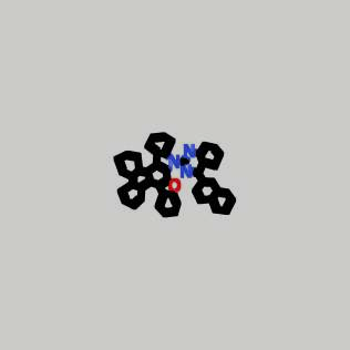 c1ccc2cc(-c3nc(-n4c5ccccc5c5c6c7ccccc7c7ccccc7c6c6c7ccccc7oc6c54)nc4ccccc34)ccc2c1